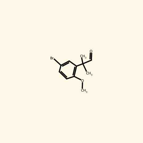 COc1ccc(Br)cc1C(C)(C)C=O